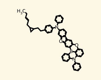 CC/C=C/CC1CC1CCc1ccc(N(c2ccccc2)c2ccc3c(c2)oc2cc4c(cc23)Oc2cccc3c2B4c2ccccc2N3c2ccccc2)cc1